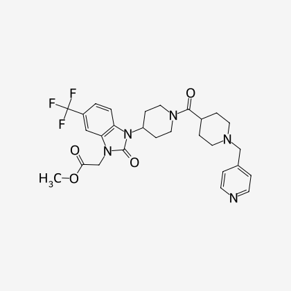 COC(=O)Cn1c(=O)n(C2CCN(C(=O)C3CCN(Cc4ccncc4)CC3)CC2)c2ccc(C(F)(F)F)cc21